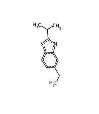 CCc1ccc2sc(C(C)C)nc2c1